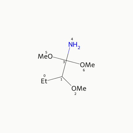 CCC(OC)C(N)(OC)OC